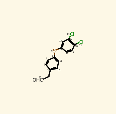 O=CCc1ccc(Sc2ccc(Cl)c(Cl)c2)cc1